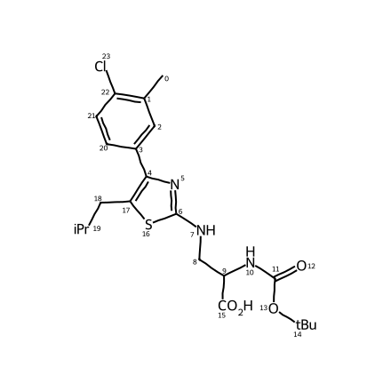 Cc1cc(-c2nc(NCC(NC(=O)OC(C)(C)C)C(=O)O)sc2CC(C)C)ccc1Cl